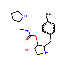 COc1ccc(C[C@H]2NC[C@H](O)[C@H]2OC(=O)NC[C@@H]2CCCN2)cc1